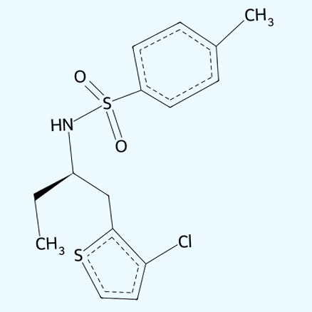 CC[C@H](Cc1sccc1Cl)NS(=O)(=O)c1ccc(C)cc1